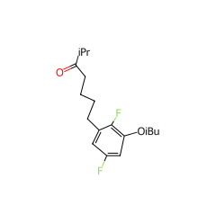 CC(C)COc1cc(F)cc(CCCCC(=O)C(C)C)c1F